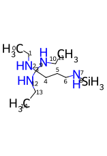 CCNC(CCCN[SiH3])(NCC)NCC